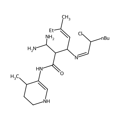 CCCCC(Cl)/C=N\C(/C=C(/C)CC)C(C(=O)NC1=CNCCC1C)C(N)N